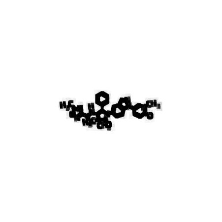 Cc1nc(C(=O)N[C@@H]2[C@@H](c3ccccc3)N(c3ccc4c(cnn4-c4ccc(=O)n(C)c4)c3)C(=O)C2(C)C)no1